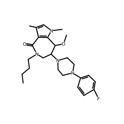 CCCCN1CC(N2CCN(c3ccc(F)cc3)CC2)C(OC)c2c(c(C)cn2C)C1=O